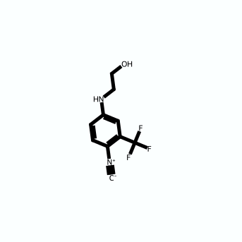 [C-]#[N+]c1ccc(NCCO)cc1C(F)(F)F